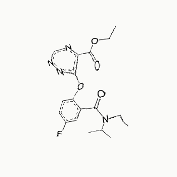 CCOC(=O)c1ncnnc1Oc1ccc(F)cc1C(=O)N(CC)C(C)C